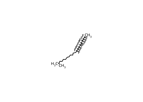 CC(C)CCCCCCCCCCC(F)(F)C(F)(F)C(F)(F)C(F)(F)C(F)(F)C(F)(F)C(F)(F)C(C)(F)F